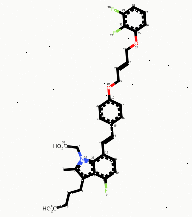 Cc1c(CCCC(=O)O)c2c(F)ccc(C=Cc3ccc(OC/C=C/COc4cccc(F)c4F)cc3)c2n1CC(=O)O